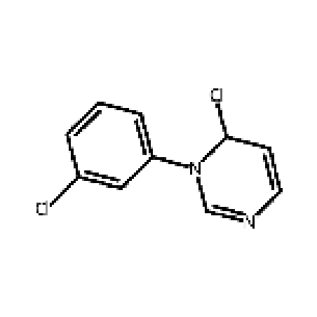 Clc1cccc(N2C=NC=CC2Cl)c1